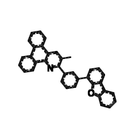 Cc1cc2c3ccccc3c3ccccc3c2nc1-c1cccc(-c2cccc3c2oc2ccccc23)c1